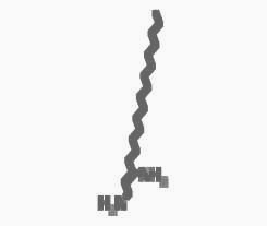 CCCCCCCCCCCCCCCC(N)=CCN